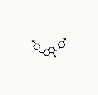 N#Cc1c(OC2CCC(C(F)(F)F)CC2)ccc2cc(CN3CCC(C(=O)O)CC3)ccc12